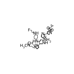 CN(C)CCCn1ccc(C2=CNC(N)(c3ccnc(-c4cnn(S(=O)(=O)C5CC5)c4)n3)C=C2NC2CCC(NCCF)CC2)n1